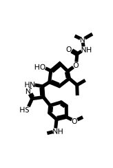 CNc1cc(-c2c(S)n[nH]c2-c2cc(C(C)C)c(OC(=O)NN(C)C)cc2O)ccc1OC